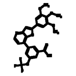 COc1cc(-c2cc3nccc(-c4cc(OC(F)(F)F)cc(C(=O)O)c4)c3o2)cc(OC)c1OC